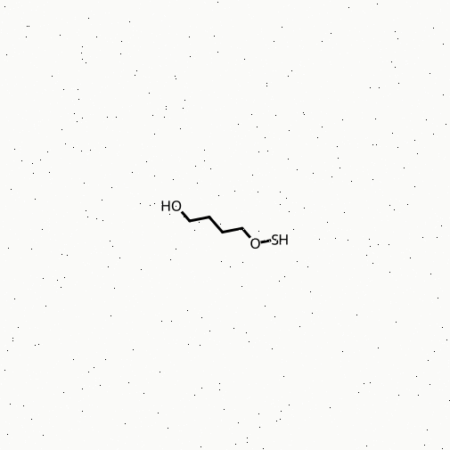 OCCCCOS